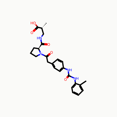 Cc1ccccc1NC(=O)Nc1ccc(CC(=O)N2CCC[C@H]2C(=O)NC[C@@H](C)C(=O)O)cc1